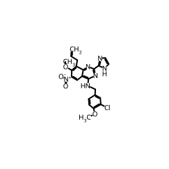 C=CCc1c(OC)c([N+](=O)[O-])cc2c(NCc3ccc(OC)c(Cl)c3)nc(-c3ncc[nH]3)nc12